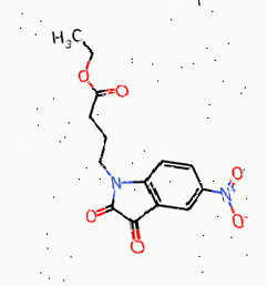 CCOC(=O)CCCN1C(=O)C(=O)c2cc([N+](=O)[O-])ccc21